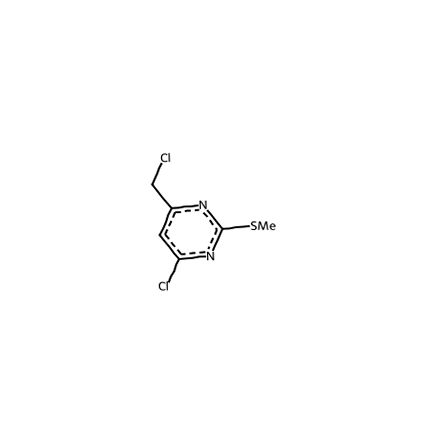 CSc1nc(Cl)cc(CCl)n1